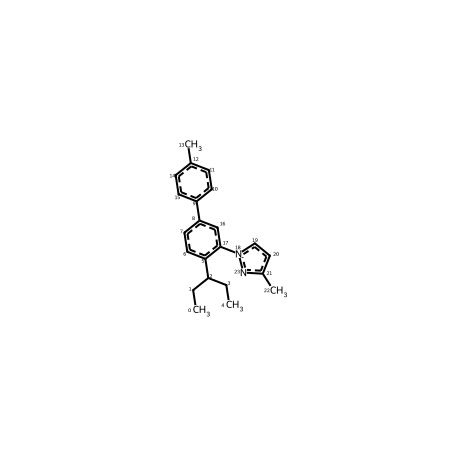 CCC(CC)c1ccc(-c2ccc(C)cc2)cc1-n1ccc(C)n1